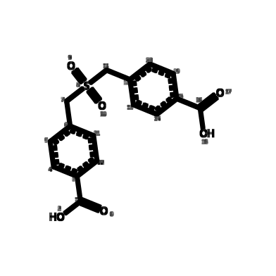 O=C(O)c1ccc(CS(=O)(=O)Cc2ccc(C(=O)O)cc2)cc1